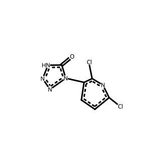 O=c1[nH]nnn1-c1ccc(Cl)nc1Cl